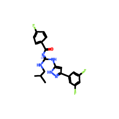 CC(C)CN/C(=N/C(=O)c1ccc(F)cc1)Nc1cc(-c2cc(F)cc(F)c2)n[nH]1